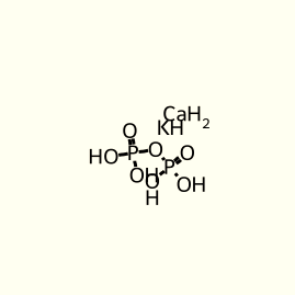 O=P(O)(O)OP(=O)(O)O.[CaH2].[KH]